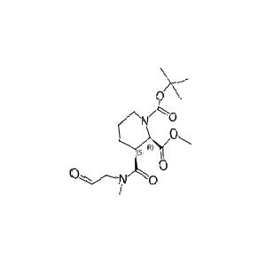 COC(=O)[C@H]1[C@@H](C(=O)N(C)CC=O)CCCN1C(=O)OC(C)(C)C